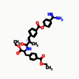 CCOC(=O)c1ccc(CC(NC(=O)/C(C)=C/c2ccc(C(=O)Oc3ccc(C(=N)N)cc3)cc2)C(=O)OCC)cc1